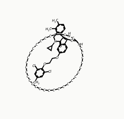 Cc1cc(Cl)c(OCCOc2ccc(C3=C(C(=O)N(Cc4cccc(C)c4C)C4CC4)C4CCCCCCCCCCCCCCCCCCCCCCCCCCCCCCNC(CNC4)C3)cc2)c(Cl)c1